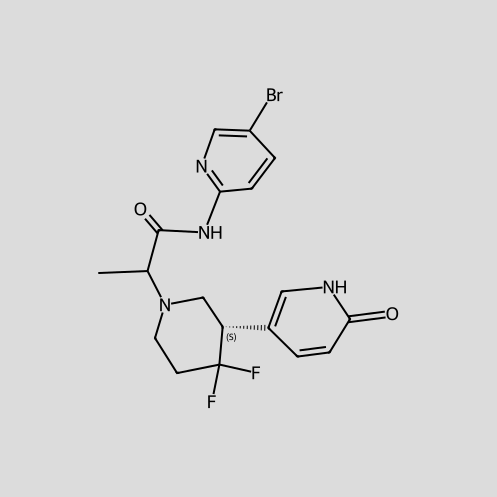 CC(C(=O)Nc1ccc(Br)cn1)N1CCC(F)(F)[C@@H](c2ccc(=O)[nH]c2)C1